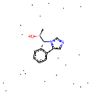 C[C@H](O)[C@H]1c2ccccc2-c2cncn21